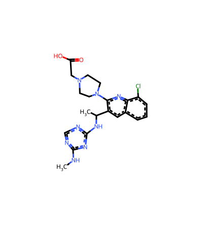 CNc1ncnc(NC(C)c2cc3cccc(Cl)c3nc2N2CCN(CC(=O)O)CC2)n1